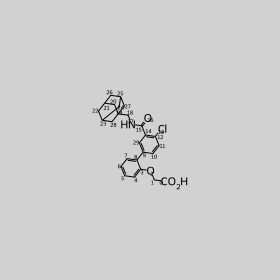 O=C(O)COc1ccccc1-c1ccc(Cl)c(C(=O)NCC23CC4CC(CC(C4)C2)C3)c1